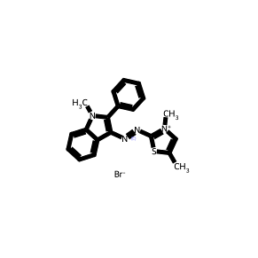 Cc1c[n+](C)c(/N=N/c2c(-c3ccccc3)n(C)c3ccccc23)s1.[Br-]